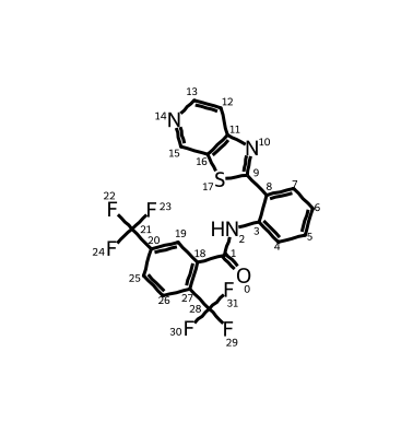 O=C(Nc1ccccc1-c1nc2ccncc2s1)c1cc(C(F)(F)F)ccc1C(F)(F)F